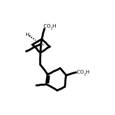 CC1=C(CC23CC(C(=O)O)(C2)[C@@H]3C)CC(C(=O)O)CC1